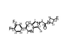 C=C(/C=N\c1c(Cl)cn(CC(=O)N2CC(F)C2)c1C)c1ccc(F)c(F)c1